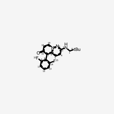 CC(C)(C)CNc1ccc2c(-c3c(F)cccc3F)c(=O)ccn2n1